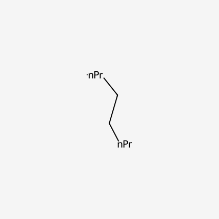 [CH2]CCCC[CH]CC